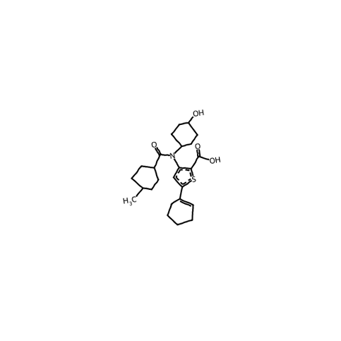 CC1CCC(C(=O)N(c2cc(C3=CCCCC3)sc2C(=O)O)C2CCC(O)CC2)CC1